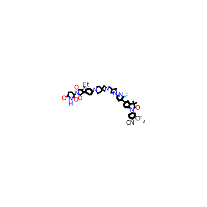 CCn1c2c(c3ccc(N4CCC5(CC4)CN(CC4CN(c6ccc(-c7ccc8c(c7)C(C)(C)C(=O)N8c7ccc(C#N)c(C(F)(F)F)c7)c(F)n6)C4)C5)cc31)C(=O)N(C1CCC(=O)NC1=O)C2=O